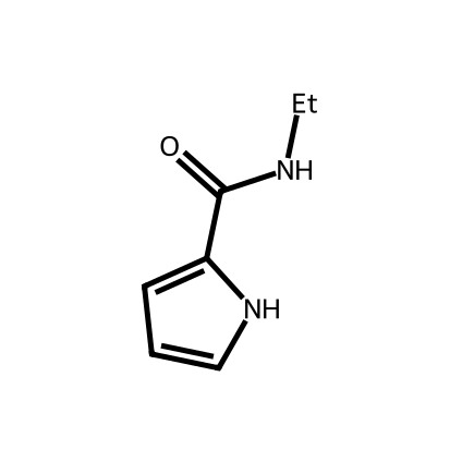 [CH2]CNC(=O)c1ccc[nH]1